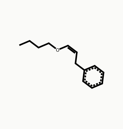 CCCCO/C=C\Cc1ccccc1